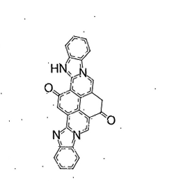 O=C1Cc2cn3c4ccccc4[nH]c3c3c(=O)cc4c(c1cn1c5ccccc5nc41)c23